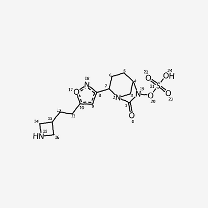 O=C1N2CC(CCC2c2cc(CCC3CNC3)on2)N1OS(=O)(=O)O